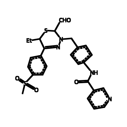 CCC1SC(C=O)N(Cc2ccc(NC(=O)c3cccnc3)cc2)N=C1c1ccc(S(C)(=O)=O)cc1